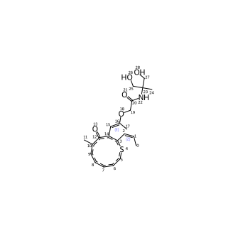 C/C=C\c1scccccc(C)c(=O)c1/C=C(\C)OCC(=O)NC(C)(CO)CO